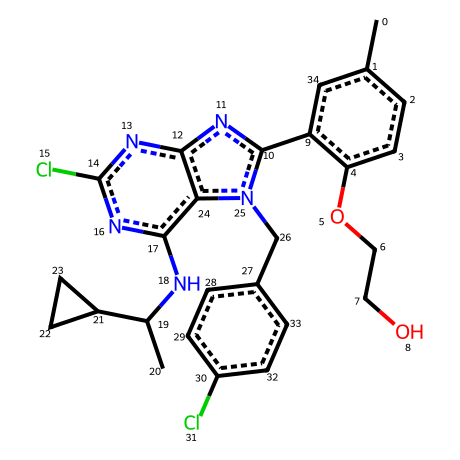 Cc1ccc(OCCO)c(-c2nc3nc(Cl)nc(NC(C)C4CC4)c3n2Cc2ccc(Cl)cc2)c1